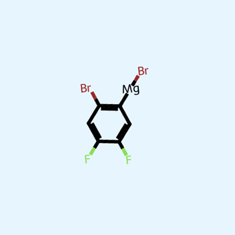 Fc1cc(Br)[c]([Mg][Br])cc1F